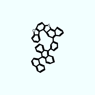 c1cc(-c2c3ccccc3c(-c3cccc4ccccc34)c3ccccc23)cc(-c2cc3c(sc4ccc5oc6ccccc6c5c43)c3ccccc23)c1